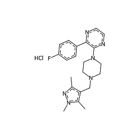 Cc1nn(C)c(C)c1CN1CCN(c2nccnc2-c2ccc(F)cc2)CC1.Cl